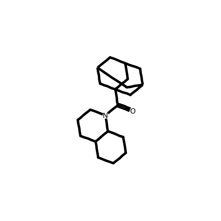 O=C(N1CCCC2CCCCC21)C12CC3CC(CC(C3)C1)C2